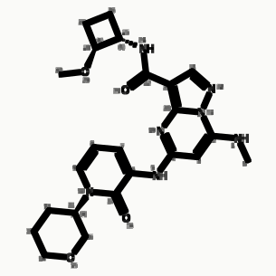 CNc1cc(Nc2cccn([C@@H]3CCCOC3)c2=O)nc2c(C(=O)N[C@H]3CC[C@@H]3OC)cnn12